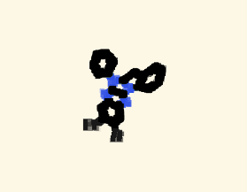 CCc1cc2nc3c(nc2cc1CC)N1c2ccccc2CC1N3c1ccccc1